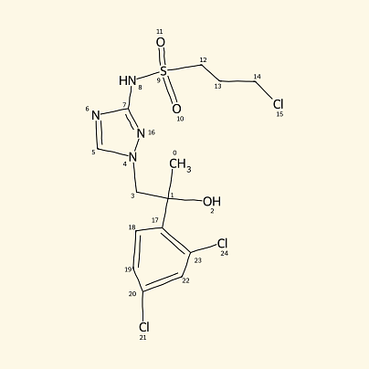 CC(O)(Cn1cnc(NS(=O)(=O)CCCCl)n1)c1ccc(Cl)cc1Cl